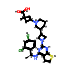 C[C@@H](Nc1nc(N2CC(C3CCCN(C4CC(C)(C(=O)O)C4)C3)C2)nc2sccc12)c1ccc(Cl)cc1Cl